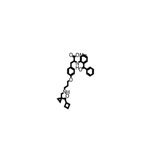 COC(=O)C(Cc1ccc(OCCCNCC2(C(=O)C3CCC3)CC2)cc1)Nc1ccccc1C(=O)c1ccccc1